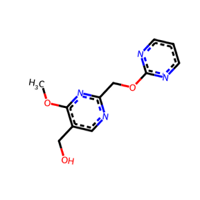 COc1nc(COc2ncccn2)ncc1CO